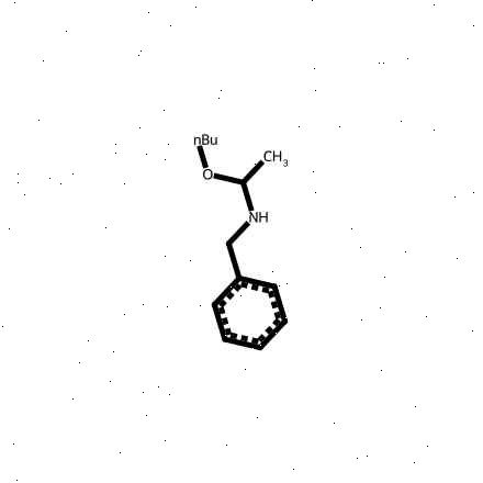 CCCCOC(C)NCc1ccccc1